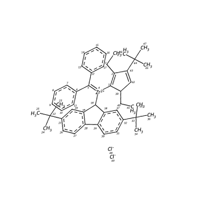 CCC1=[C]([Zr+2](=[C](c2ccccc2)c2ccccc2)[CH]2c3cc(C(C)(C)C)ccc3-c3ccc(C(C)(C)C)cc32)C(CC)C=C1C(C)(C)C.[Cl-].[Cl-]